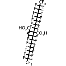 C=C(C(=O)O)C(C(=O)O)(C(F)(F)C(F)(F)C(F)(F)C(F)(F)C(F)(F)C(F)(F)C(F)(F)C(F)(F)F)C(F)(F)C(F)(F)C(F)(F)C(F)(F)C(F)(F)C(F)(F)C(F)(F)C(F)(F)F